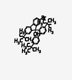 CC(C)(C)c1ccc(-c2ccc(C(C)(C)C)cc2C2(O)c3cc(Br)ccc3-c3ccc(C(C)(C)C)cc32)cc1